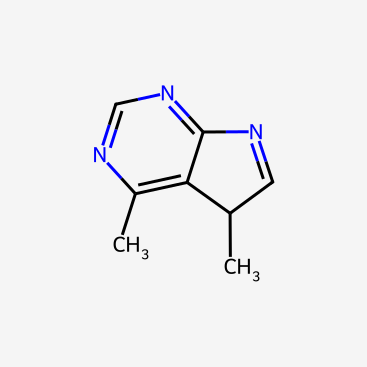 Cc1ncnc2c1C(C)C=N2